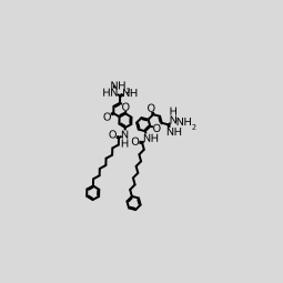 N=C(NN)c1cc(=O)c2cc(NC(=O)CCCCCCCCc3ccccc3)ccc2o1.N=C(NN)c1cc(=O)c2cccc(NC(=O)CCCCCCCCc3ccccc3)c2o1